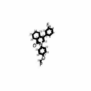 O=c1c2c(c(-c3cccc(F)c3)cn1-c1ccc(OCF)cc1)CCCC2